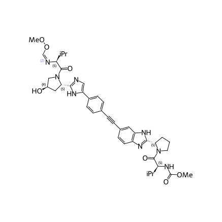 COO/C=N\[C@H](C(=O)N1C[C@H](O)C[C@H]1c1ncc(-c2ccc(C#Cc3ccc4nc([C@@H]5CCCN5C(=O)[C@@H](NC(=O)OC)C(C)C)[nH]c4c3)cc2)[nH]1)C(C)C